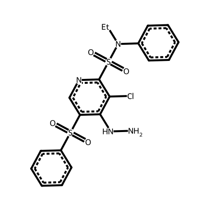 CCN(c1ccccc1)S(=O)(=O)c1ncc(S(=O)(=O)c2ccccc2)c(NN)c1Cl